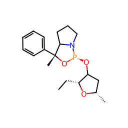 CC[C@H]1O[C@@H](C)CC1O[P@@]1O[C@](C)(c2ccccc2)C2CCCN21